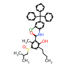 CCCCc1cc([S+]([O-])CC(C)C)c(C)c(C(=O)Nc2ccc(C(c3ccccc3)(c3ccccc3)c3ccccc3)cc2Cl)c1O